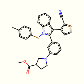 COC(=O)C1CCN(c2cccc(-c3c(-c4ccsc4C#N)c4ccccc4n3Sc3ccc(C)cc3)c2)C1